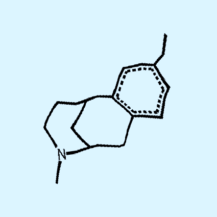 Cc1ccc2c(c1)C1CCN(C)C(C2)C1